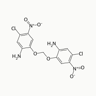 Nc1cc(Cl)c([N+](=O)[O-])cc1OCOc1cc([N+](=O)[O-])c(Cl)cc1N